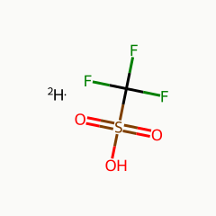 O=S(=O)(O)C(F)(F)F.[2H]